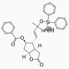 CCCCCC(C)(/C=C/[C@@H]1[C@H]2CC(=O)O[C@H]2C[C@H]1OC(=O)c1ccccc1)O[Si](c1ccccc1)(c1ccccc1)C(C)(C)C